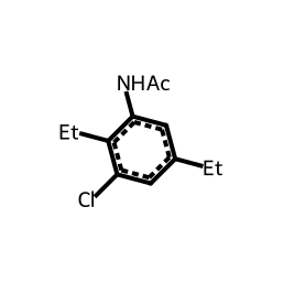 CCc1cc(Cl)c(CC)c(NC(C)=O)c1